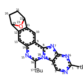 CC(C)(C)c1ncc2c(n1)nc1c3cc4c(cc3nc(C(C)(C)C)n21)C1CCC4O1